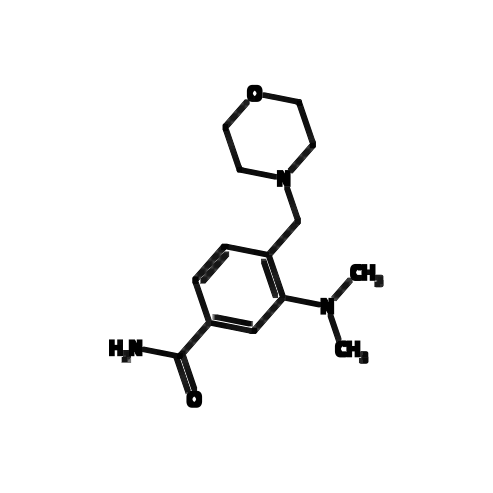 CN(C)c1cc(C(N)=O)ccc1CN1CCOCC1